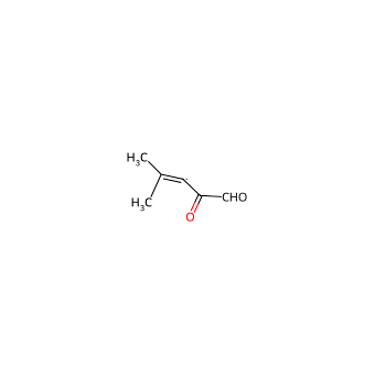 CC(C)=[C]C(=O)C=O